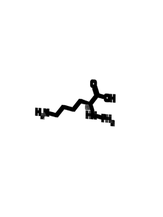 NCCCC[C@H](NP)C(=O)O